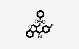 O=S(=O)(CC1=COc2ccccc2/C1=C(\Br)c1ccc(F)cc1)c1ccccc1